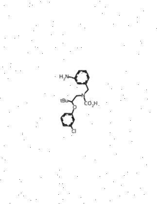 CC(C)(C)C(CN(Cc1cccc(N)c1)C(=O)O)Oc1cccc(Cl)c1